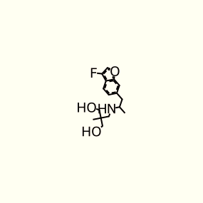 CC(Cc1ccc2c(F)coc2c1)NCC(C)(CO)CO